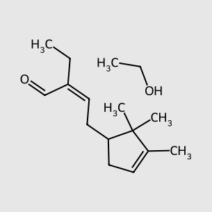 CCC(C=O)=CCC1CC=C(C)C1(C)C.CCO